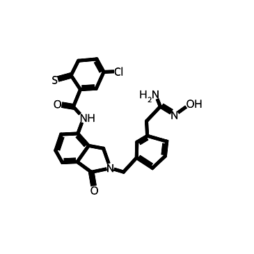 NC(Cc1cccc(CN2Cc3c(NC(=O)C4=CC(Cl)=CCC4=S)cccc3C2=O)c1)=NO